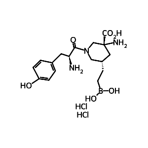 Cl.Cl.N[C@@H](Cc1ccc(O)cc1)C(=O)N1C[C@@H](CCB(O)O)C[C@](N)(C(=O)O)C1